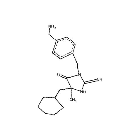 CC1(CC2CCCCC2)NC(=N)N(Cc2ccc(CN)cc2)C1=O